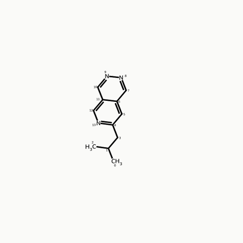 CC(C)Cc1cc2cnncc2cn1